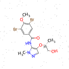 COc1c(Br)cc(C(=O)Nc2c(O[C@H](C)CO)cnn2C)cc1Br